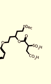 CCCCCCCCCCCCC(CCOc1ccccc1)OC(=O)C(CC(=O)O)S(=O)(=O)O